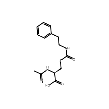 CC(=O)N[C@@H](CSC(=O)NCCc1ccccc1)C(=O)O